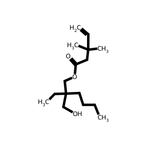 C=CC(C)(C)CC(=O)OCC(CC)(CO)CCCC